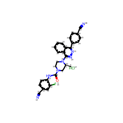 C[C@H]1CN(C(=O)Nc2ccc(C#N)cc2F)CCN1c1nnc(-c2ccc(C#N)cc2)c2ccccc12.Cl